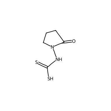 O=C1CCCN1NC(=S)S